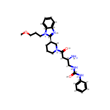 COCCCn1c([C@@H]2CCCN(C(=O)C[C@@H](N)CNC(=O)Nc3ccccc3)C2)nc2ccccc21